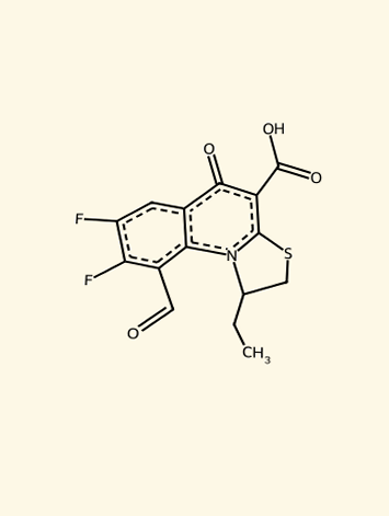 CCC1CSc2c(C(=O)O)c(=O)c3cc(F)c(F)c(C=O)c3n21